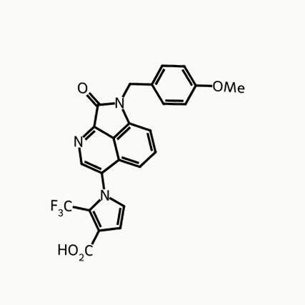 COc1ccc(CN2C(=O)c3ncc(-n4ccc(C(=O)O)c4C(F)(F)F)c4cccc2c34)cc1